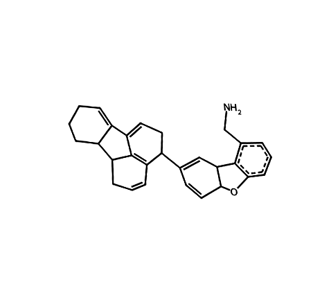 NCc1cccc2c1C1C=C(C3CC=C4C5=CCCCC5C5CC=CC3=C45)C=CC1O2